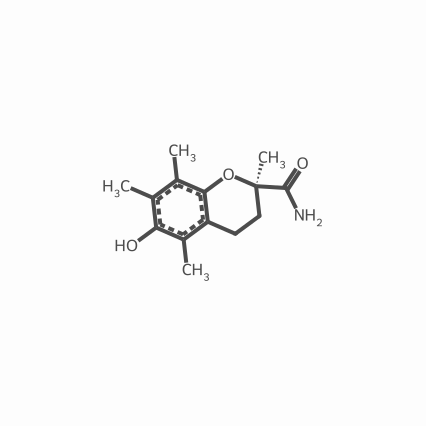 Cc1c(C)c2c(c(C)c1O)CC[C@](C)(C(N)=O)O2